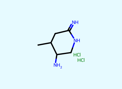 CC1CC(=N)NCC1N.Cl.Cl